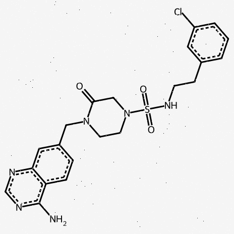 Nc1ncnc2cc(CN3CCN(S(=O)(=O)NCCc4cccc(Cl)c4)CC3=O)ccc12